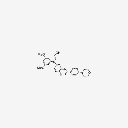 COc1cc(OC)cc(N(CCO)c2ccc3ncc(-c4ccc(N5CCOCC5)nc4)nc3c2)c1